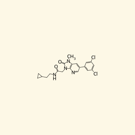 Cn1c(=O)n(CC(=O)NCCC2CC2)c2ncc(-c3cc(Cl)cc(Cl)c3)cc21